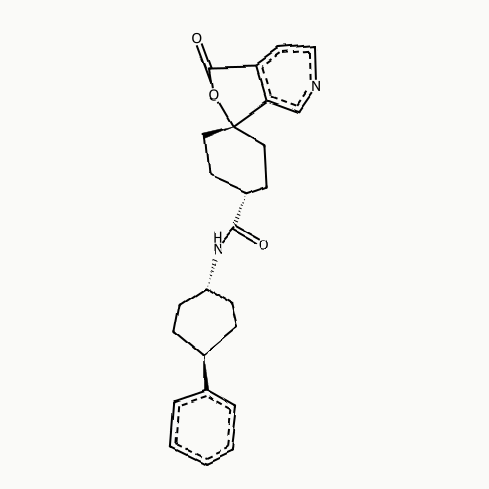 O=C1O[C@]2(CC[C@@H](C(=O)N[C@H]3CC[C@H](c4ccccc4)CC3)CC2)c2cnccc21